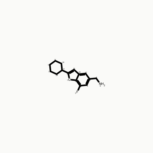 NCc1cc(F)c2oc(C3CCCCC3)cc2c1